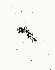 Cc1cc(C(C)NC(=O)c2ccnc(C)c2C)cnc1OCC(F)(F)F